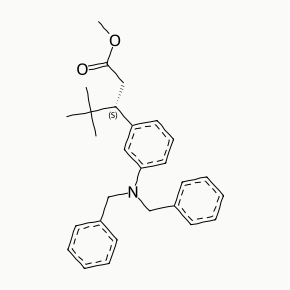 COC(=O)C[C@H](c1cccc(N(Cc2ccccc2)Cc2ccccc2)c1)C(C)(C)C